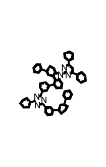 c1ccc(-c2cccc(-c3cccc(-c4nc(-c5ccccc5)nc(-c5cccc(-c6cccc7c6c6cc(-c8ccccc8)ccc6n7-c6nc(-c7ccccc7)cc(-c7ccccc7)n6)c5)n4)c3)c2)cc1